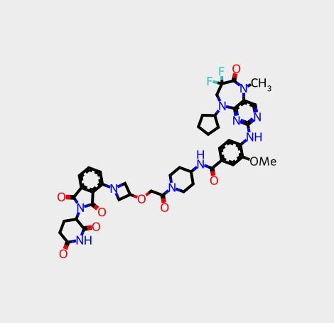 COc1cc(C(=O)NC2CCN(C(=O)COC3CN(c4cccc5c4C(=O)N(C4CCC(=O)NC4=O)C5=O)C3)CC2)ccc1Nc1ncc2c(n1)N(C1CCCC1)CC(F)(F)C(=O)N2C